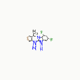 Cc1cscc1Nc1nc2c(F)cc(F)cc2[nH]1